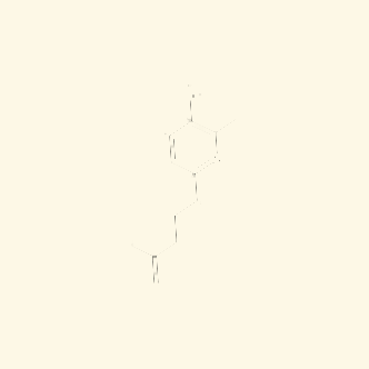 C=C(C)CCCc1ccc(CCCC)c(C)n1